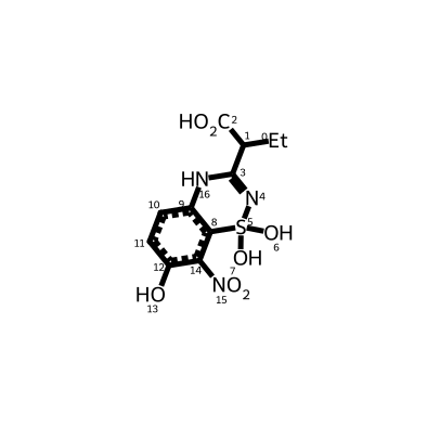 CCC(C(=O)O)C1=NS(O)(O)c2c(ccc(O)c2[N+](=O)[O-])N1